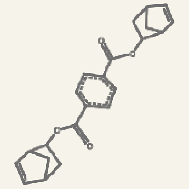 O=C(OC1CC2C=CC1C2)c1ccc(C(=O)OC2CC3C=CC2C3)cc1